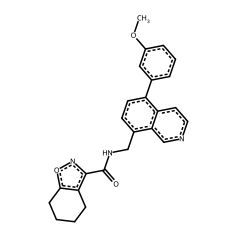 COc1cccc(-c2ccc(CNC(=O)c3noc4c3CCCC4)c3cnccc23)c1